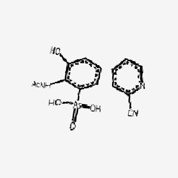 CC(=O)Nc1c(O)cccc1[As](=O)(O)O.N#Cc1ccccn1